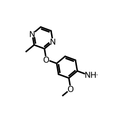 COc1cc(Oc2nccnc2C)ccc1[NH]